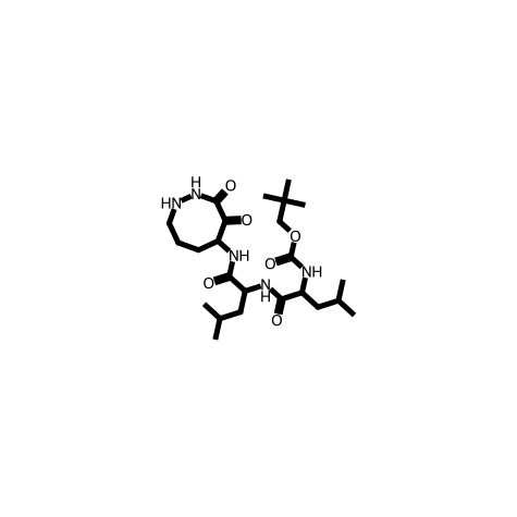 CC(C)CC(NC(=O)OCC(C)(C)C)C(=O)NC(CC(C)C)C(=O)NC1CCCNNC(=O)C1=O